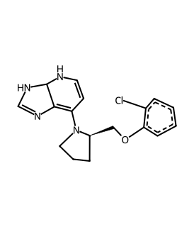 Clc1ccccc1OC[C@H]1CCCN1C1=C2N=CNC2NC=C1